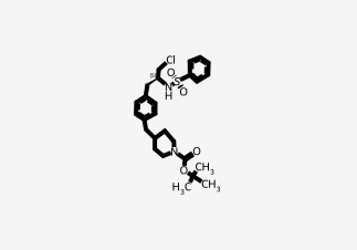 CC(C)(C)OC(=O)N1CCC(Cc2ccc(C[C@@H](CCl)NS(=O)(=O)c3ccccc3)cc2)CC1